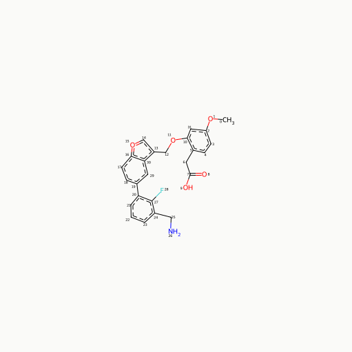 COc1ccc(CC(=O)O)c(OCc2coc3ccc(-c4cccc(CN)c4F)cc23)c1